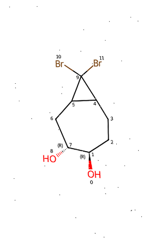 O[C@@H]1CCC2C(C[C@H]1O)C2(Br)Br